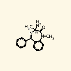 CN1C(=O)[C@@](C)(N)N=C(c2ccccc2)c2ccccc21